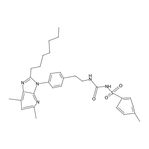 CCCCCCCc1nc2c(C)cc(C)nc2n1-c1ccc(CCNC(=O)NS(=O)(=O)c2ccc(C)cc2)cc1